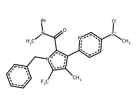 Cc1c(-c2ccc([S+](C)[O-])cn2)c(C(=O)N(C)C(C)C)n(Cc2ccccc2)c1C(F)(F)F